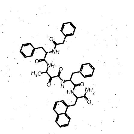 CC(NC(=O)C(Cc1ccccc1)NC(=O)Cc1ccccc1)C(=O)C(=O)NC(Cc1ccccc1)C(=O)NC(Cc1cccc2ccccc12)C(N)=O